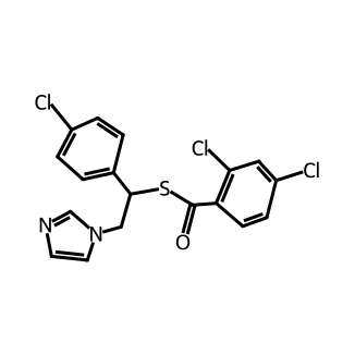 O=C(SC(Cn1ccnc1)c1ccc(Cl)cc1)c1ccc(Cl)cc1Cl